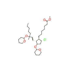 CCCCCC(C)(/C=C/[C@@H]1[C@@H](CCCCCCC(=O)OC)[C@H](Cl)C[C@H]1OC1CCCCO1)OC1CCCCO1